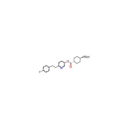 CCCCCCCCC[C@H]1CC[C@H](C(=O)Oc2ccc(CCc3ccc(F)cc3)nc2)CC1